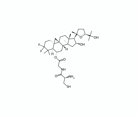 CC(C)(O)[C@@H]1CC[C@@](C)([C@H]2[C@@H](O)C[C@@]3(C)[C@@H]4C[C@H](OC(=O)CNC(=O)[C@@H](N)CS)[C@H]5C(C)(C)C(F)(F)CC[C@@]56C[C@@]46CC[C@]23C)O1